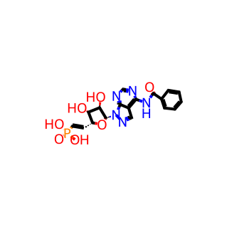 O=C(Nc1ncnc2c1cnn2[C@@H]1O[C@H](/C=C/P(=O)(O)O)[C@H](O)[C@H]1O)c1ccccc1